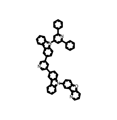 c1ccc(-c2cc(-n3c4ccccc4c4cc(-c5cncc(-c6ccc7c(c6)c6ccccc6n7-c6ccc7oc8cccnc8c7c6)c5)ccc43)cc(-c3ccccc3)n2)cc1